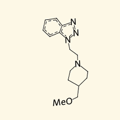 COCC1CCN(CCn2nnc3ccccc32)CC1